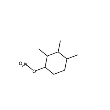 CC1CCC(O[N+](=O)[O-])C(C)C1C